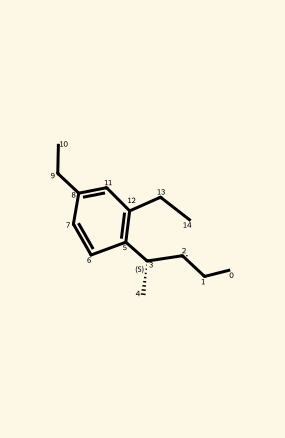 CC[CH][C@H](C)c1ccc(CC)cc1CC